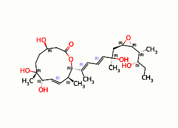 CC[C@H](O)[C@@H](C)[C@H]1O[C@@H]1C[C@@](C)(O)/C=C/C=C(\C)[C@H]1OC(=O)C[C@H](O)CC[C@@](C)(O)[C@@H](O)/C=C/[C@@H]1C